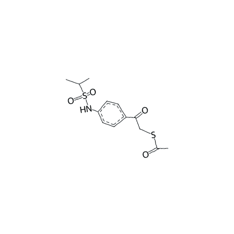 CC(=O)SCC(=O)c1ccc(NS(=O)(=O)C(C)C)cc1